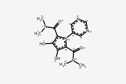 CN(C)C(=O)c1c(O)c(O)c(C(=O)N(C)C)n1-c1cncnc1